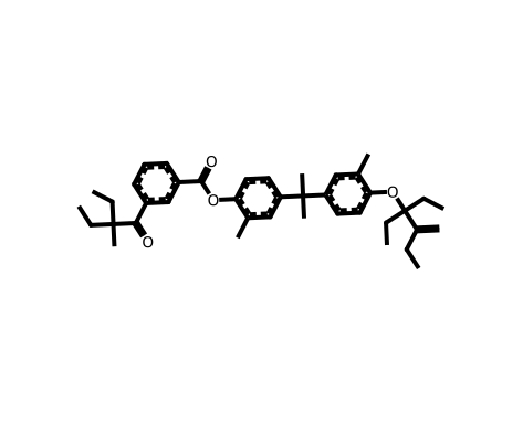 C=C(CC)C(CC)(CC)Oc1ccc(C(C)(C)c2ccc(OC(=O)c3cccc(C(=O)C(C)(CC)CC)c3)c(C)c2)cc1C